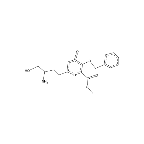 COC(=O)c1oc(CCC(N)CO)cc(=O)c1OCc1ccccc1